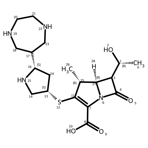 C[C@@H](O)C1C(=O)N2C(C(=O)O)=C(S[C@@H]3CN[C@H](C4CNCCNC4)C3)[C@H](C)[C@@H]12